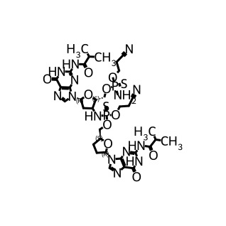 CC(C)C(=O)Nc1nc2c(ncn2[C@H]2CC[C@@H](COP(=S)(NC3C[C@H](n4cnc5c(=O)[nH]c(NC(=O)C(C)C)nc54)O[C@@H]3COP(N)(=S)OCCC#N)OCCC#N)O2)c(=O)[nH]1